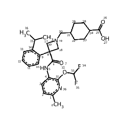 Cc1ccc(NC(=O)C2(c3ccccc3C(C)C)CN(CC3CCC(C(=O)O)CC3)C2)c(OC(F)F)n1